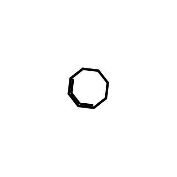 C1=C=CCCCCC=1